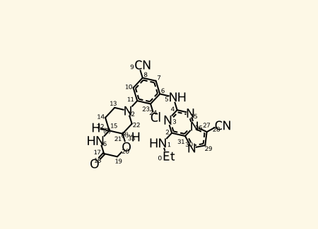 CCNc1nc(Nc2cc(C#N)cc(N3CC[C@H]4NC(=O)CO[C@@H]4C3)c2Cl)nn2c(C#N)cnc12